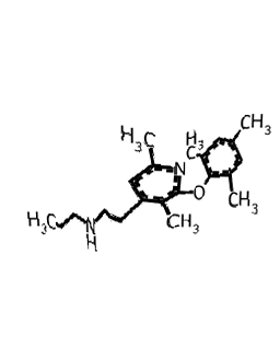 CCCNCCc1cc(C)nc(Oc2c(C)cc(C)cc2C)c1C